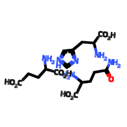 NC(=O)CCC(N)C(=O)O.NC(CCC(=O)O)C(=O)O.NC(Cc1c[nH]cn1)C(=O)O